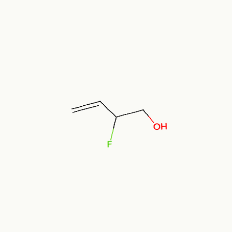 C=CC(F)CO